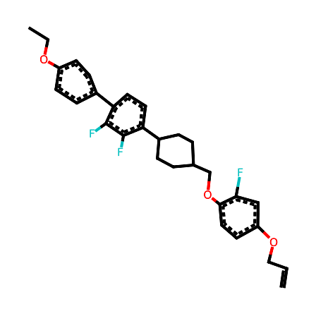 C=CCOc1ccc(OCC2CCC(c3ccc(-c4ccc(OCC)cc4)c(F)c3F)CC2)c(F)c1